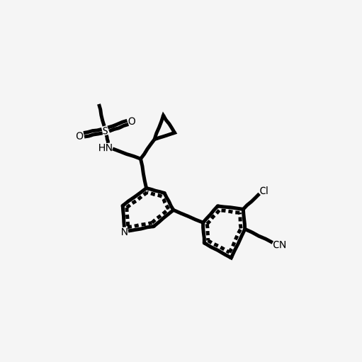 CS(=O)(=O)NC(c1cncc(-c2ccc(C#N)c(Cl)c2)c1)C1CC1